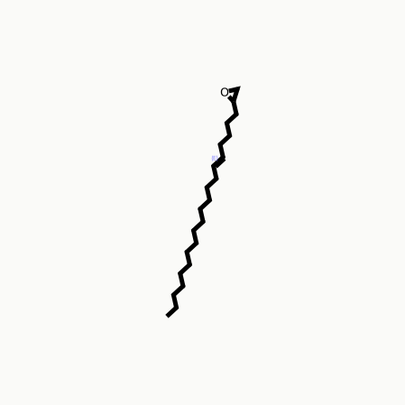 CCCCCCCCCCCCCC/C=C/CCCCC1CO1